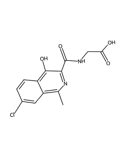 Cc1nc(C(=O)NCC(=O)O)c(O)c2ccc(Cl)cc12